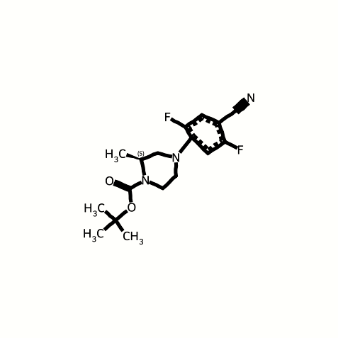 C[C@H]1CN(c2cc(F)c(C#N)cc2F)CCN1C(=O)OC(C)(C)C